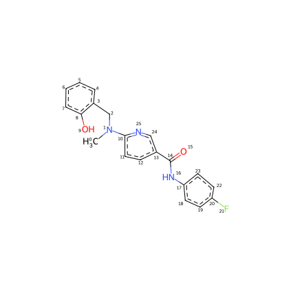 CN(Cc1ccccc1O)c1ccc(C(=O)Nc2ccc(F)cc2)cn1